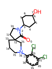 O=C1N(C2CCC(O)CC2)CCC12CCCN(c1cccc(Cl)c1Cl)C2